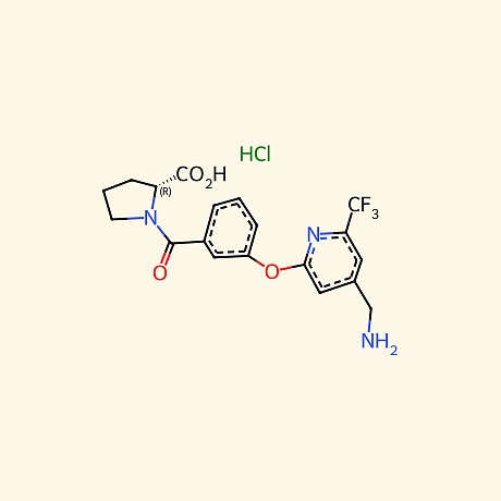 Cl.NCc1cc(Oc2cccc(C(=O)N3CCC[C@@H]3C(=O)O)c2)nc(C(F)(F)F)c1